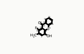 Cc1cc(O)c2sc3ccccc3c(=O)c2c1F